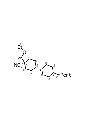 CCCCCC1CCC([C@H]2CC[C@](C#N)(COCC)CC2)CC1